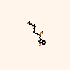 CSS/C(=C/CC1=C(C)C(=O)c2ccccc2C1=O)CCCC(C)CCCC(C)CCCC(C)C